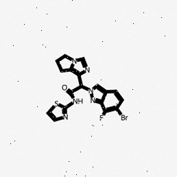 O=C(Nc1nccs1)C(c1ncn2c1CCC2)n1cc2ccc(Br)c(F)c2n1